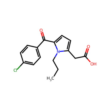 CCCn1c(CC(=O)O)ccc1C(=O)c1ccc(Cl)cc1